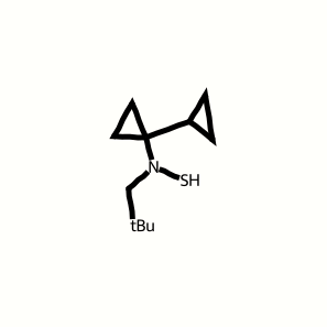 CC(C)(C)CN(S)C1(C2CC2)CC1